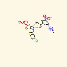 Nc1cc(-c2ccc3c(CC(=O)O)cn(Cc4csc5ccc(Cl)cc45)c3c2)cc([N+](=O)[O-])c1